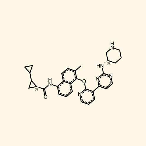 Cc1ccc2c(NC(=O)[C@H]3CC3C3CC3)cccc2c1Oc1ncccc1-c1ccnc(N[C@H]2CCCNC2)n1